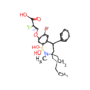 CCCCC1(CC)CC(c2ccccc2)c2cc(Br)c(O/C=C(\F)C(=O)O)cc2S(O)(O)N1C